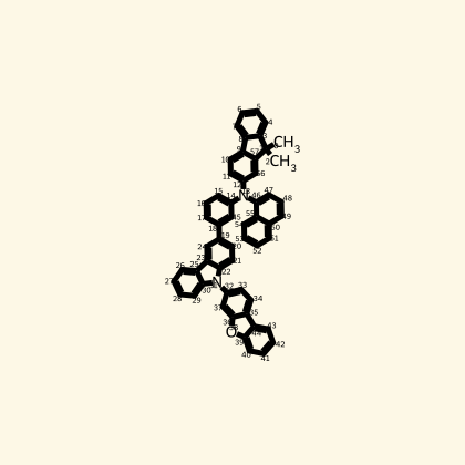 CC1(C)c2ccccc2-c2ccc(N(c3cccc(-c4ccc5c(c4)c4ccccc4n5-c4ccc5c(c4)oc4ccccc45)c3)c3cccc4ccccc34)cc21